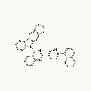 c1ccc2cc3c(cc2c1)c1ccccc1n3-c1nc(-c2ccc(-c3cccc4cccnc34)nc2)nc2ccccc12